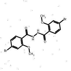 COc1cc(Br)ccc1C(=O)NNC(=O)c1ccc(Br)cc1OC